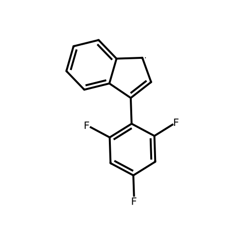 Fc1cc(F)c(C2=C[CH]c3ccccc32)c(F)c1